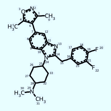 Cc1noc(C)c1-c1ccc2c(c1)nc(Cc1ccc(F)c(F)c1)n2C1CCC(N(C)C)CC1